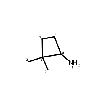 CC1(C)CCC1N